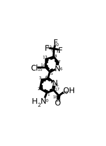 Nc1ccc(-c2ncc(C(F)(F)F)cc2Cl)nc1C(=O)O